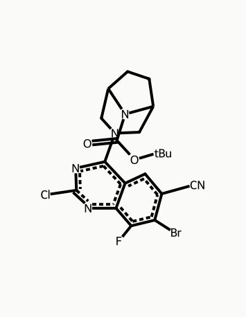 CC(C)(C)OC(=O)N1C2CCC1CN(c1nc(Cl)nc3c(F)c(Br)c(C#N)cc13)C2